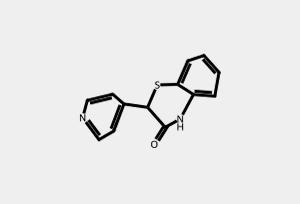 O=C1Nc2ccccc2SC1c1ccncc1